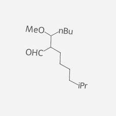 CCCCC(OC)C(C=O)CCCCC(C)C